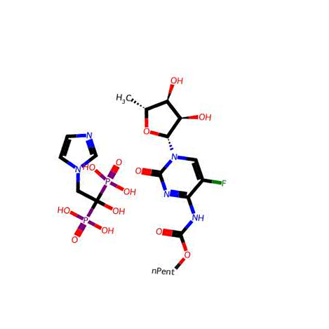 CCCCCOC(=O)Nc1nc(=O)n([C@@H]2O[C@H](C)[C@@H](O)[C@H]2O)cc1F.O=P(O)(O)C(O)(Cn1ccnc1)P(=O)(O)O